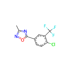 Cc1noc(-c2ccc(Cl)c(C(F)(F)F)c2)n1